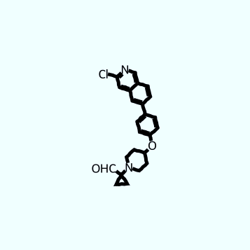 O=CC1(N2CCC(Oc3ccc(-c4ccc5cnc(Cl)cc5c4)cc3)CC2)CC1